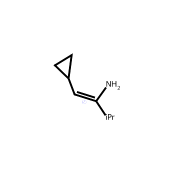 CC(C)/C(N)=C/C1CC1